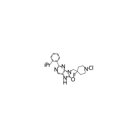 CC(C)c1ccccc1-c1ncc2[nH]c(=O)n(CC3(F)CCN(Cl)CC3)c2n1